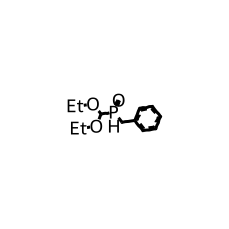 CCOC(OCC)[PH](=O)Cc1ccccc1